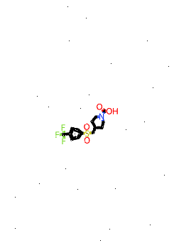 O=C(O)N1CCC(CS(=O)(=O)c2ccc(C(F)(F)F)cc2)CC1